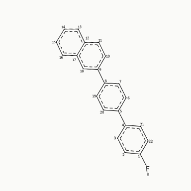 Fc1ccc(-c2ccc(-c3ccc4ccccc4c3)cc2)cc1